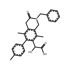 Cc1ccc(-c2c(C)c3c(c(C)c2C(O)C(=O)O)CN(Cc2ccccc2)C(=O)C3)cc1